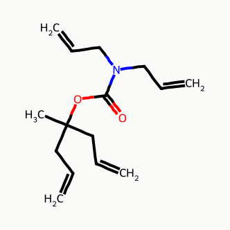 C=CCN(CC=C)C(=O)OC(C)(CC=C)CC=C